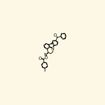 Cc1ccc(C(=O)O/N=C2\CCn3c4ccc(C(=O)c5ccccc5)cc4c4cccc2c43)cc1